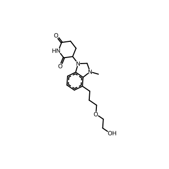 CN1CN(C2CCC(=O)NC2=O)c2cccc(CCCOCCO)c21